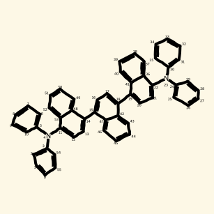 c1ccc(N(c2ccccc2)c2ccc(-c3ccc(-c4ccc(N(c5ccccc5)c5ccccc5)c5ccccc45)c4ccccc34)c3ccccc23)cc1